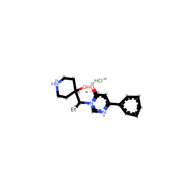 CCC(n1cnc(-c2ccccc2)cc1=O)C1(O)CCNCC1.Cl